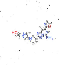 Cc1nn(CC(C)(C)O)cc1N1CCC[C@@H](c2nc3c(C)c(-c4ncco4)nc(N)n3n2)C1